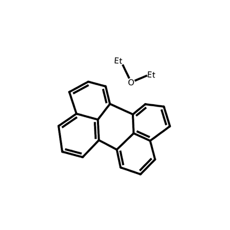 CCOCC.c1cc2cccc3c4cccc5cccc(c(c1)c23)c54